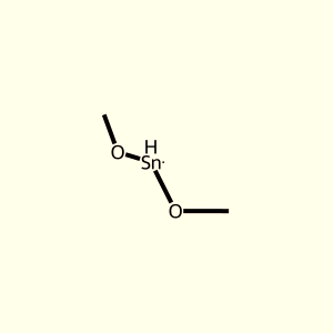 C[O][SnH][O]C